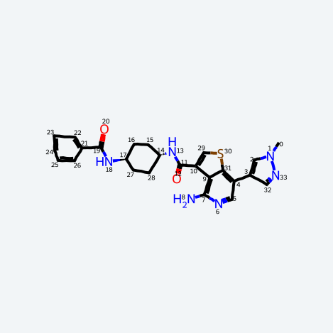 Cn1cc(-c2cnc(N)c3c(C(=O)N[C@H]4CC[C@H](NC(=O)c5ccccc5)CC4)csc23)cn1